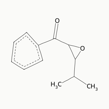 CC(C)C1OC1C(=O)c1ccccc1